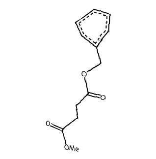 COC(=O)CCC(=O)OCc1ccccc1